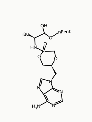 CCCCCOC(O)[C@@H](NP1(=O)CO[C@@H](Cn2cnc3c(N)ncnc32)CO1)C(C)CC